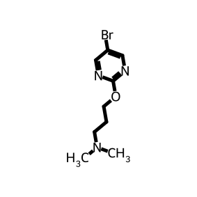 CN(C)CCCOc1ncc(Br)cn1